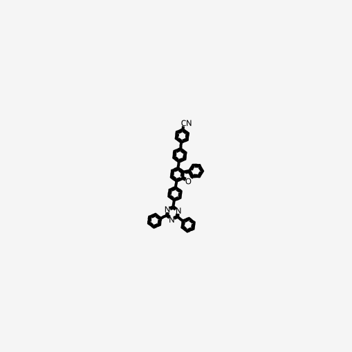 N#Cc1ccc(-c2ccc(-c3ccc(-c4ccc(-c5nc(-c6ccccc6)nc(-c6ccccc6)n5)cc4)c4oc5ccccc5c34)cc2)cc1